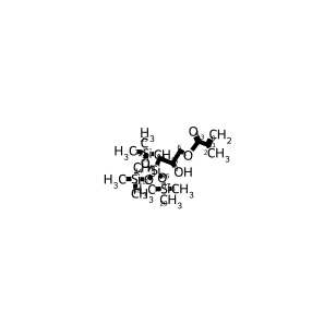 C=C(C)C(=O)OCC(O)C[Si](O[Si](C)(C)C)(O[Si](C)(C)C)O[Si](C)(C)C